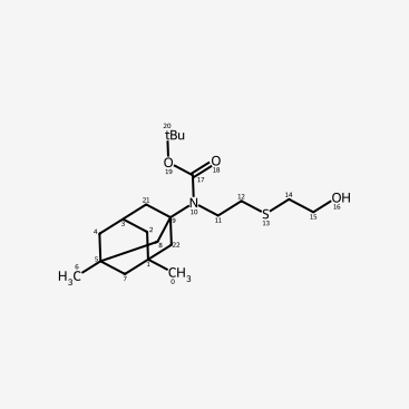 CC12CC3CC(C)(C1)CC(N(CCSCCO)C(=O)OC(C)(C)C)(C3)C2